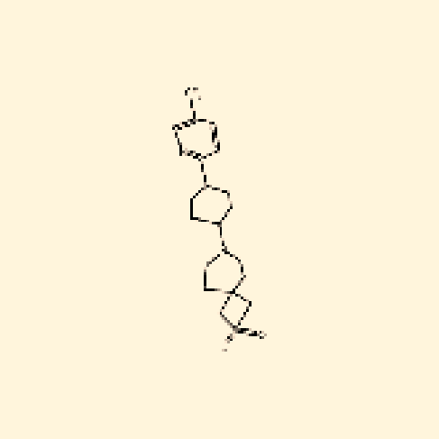 O=S1(=O)CC2(CCN(C3CCC(c4ccc(C(F)(F)F)cn4)CC3)CC2)C1